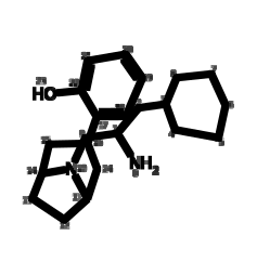 NC(CC1CCCCC1)CN1C2CCC1CC(c1ccccc1O)C2